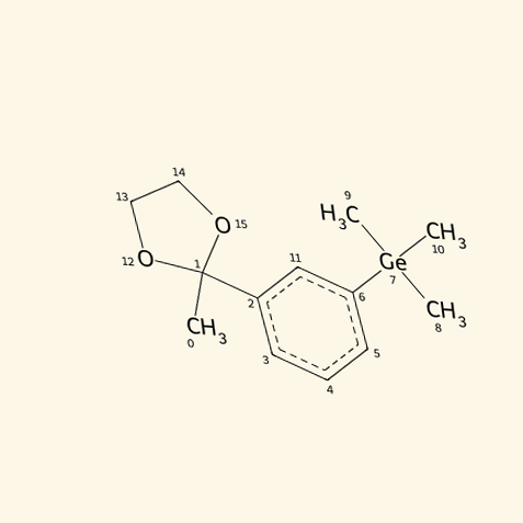 CC1(c2ccc[c]([Ge]([CH3])([CH3])[CH3])c2)OCCO1